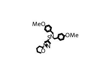 COc1ccc(CN(Cc2ccc(OC)cc2)Sc2cnn(C3CCCCO3)c2)cc1